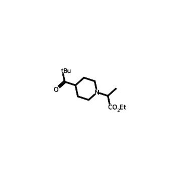 CCOC(=O)C(C)N1CCC(C(=O)C(C)(C)C)CC1